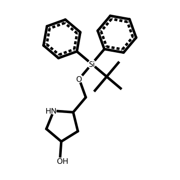 CC(C)(C)[Si](OCC1CC(O)CN1)(c1ccccc1)c1ccccc1